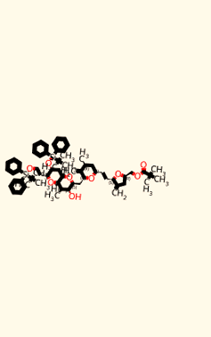 C=C1C[C@H](COC(=O)C(C)(C)C)O[C@H]1CC[C@H]1C[C@@H](C)C(=C)[C@@H](C[C@@H]2O[C@H]3C[C@@H](O[Si](c4ccccc4)(c4ccccc4)C(C)(C)C)[C@@H](CCO[Si](c4ccccc4)(c4ccccc4)C(C)(C)C)O[C@H]3[C@H](C)[C@H]2O)O1